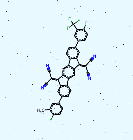 Cc1cc(-c2ccc3c(c2)C(=C(C#N)C#N)c2cc4c(cc2-3)C(=C(C#N)C#N)c2cc(-c3ccc(F)c(C(F)(F)F)c3)ccc2-4)ccc1F